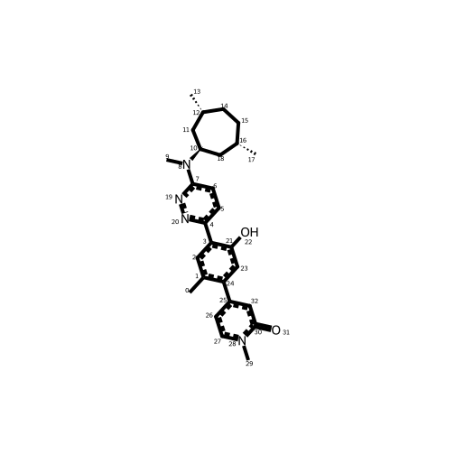 Cc1cc(-c2ccc(N(C)[C@H]3C[C@H](C)CC[C@H](C)C3)nn2)c(O)cc1-c1ccn(C)c(=O)c1